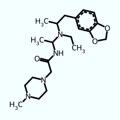 CCN(C(C)Cc1ccc2c(c1)OCO2)C(C)NC(=O)CN1CCN(C)CC1